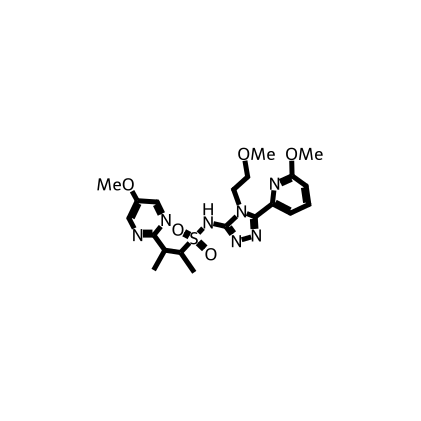 COCCn1c(NS(=O)(=O)C(C)C(C)c2ncc(OC)cn2)nnc1-c1cccc(OC)n1